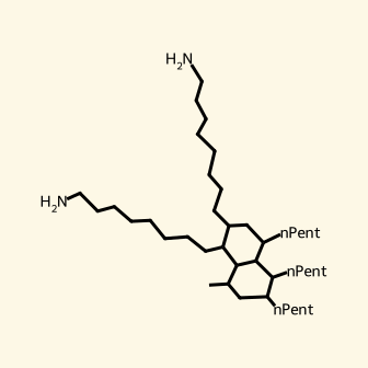 CCCCCC1CC(C)C2C(CCCCCCCCN)C(CCCCCCCCN)CC(CCCCC)C2C1CCCCC